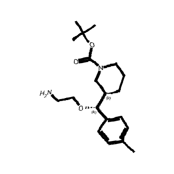 Cc1ccc([C@H](OCCN)[C@@H]2CCCN(C(=O)OC(C)(C)C)C2)cc1